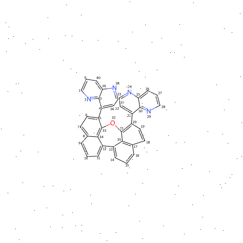 c1cnc2c(-c3ccc4cccc5c6cccc7ccc(-c8ccnc9cccnc89)c(oc3c45)c76)ccnc2c1